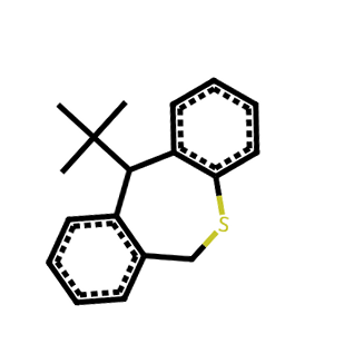 CC(C)(C)C1c2ccccc2CSc2ccccc21